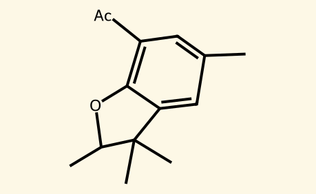 CC(=O)c1cc(C)cc2c1OC(C)C2(C)C